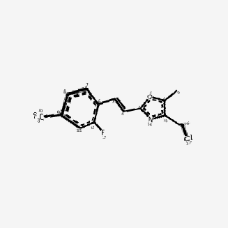 Cc1oc(C=Cc2ccc(C(F)(F)F)cc2F)nc1CCl